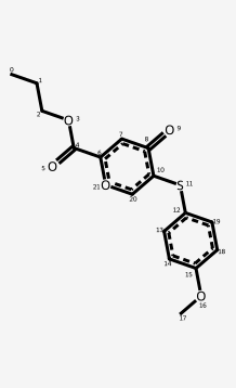 CCCOC(=O)c1cc(=O)c(Sc2ccc(OC)cc2)co1